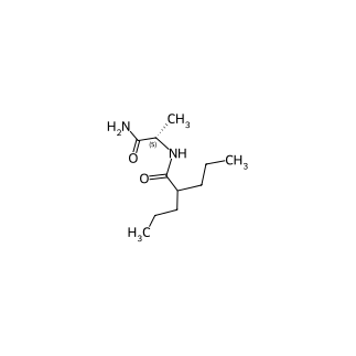 CCCC(CCC)C(=O)N[C@@H](C)C(N)=O